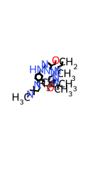 C=CCN(C)N(C(/C=C\C=O)=N/N(C)C(C)C)c1nc(Nc2ccc(N3CCC4(CN(C)C4)C3)c(C)c2)ncc1C=O